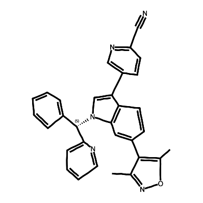 Cc1noc(C)c1-c1ccc2c(-c3ccc(C#N)nc3)cn([C@@H](c3ccccc3)c3ccccn3)c2c1